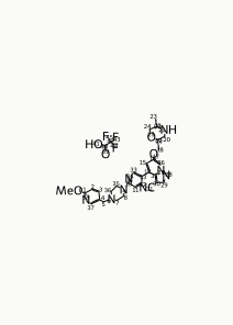 COc1ccc(CN2CCN(c3ccc(-c4cc(OC[C@@H]5CN[C@H](C)CO5)cn5ncc(C#N)c45)cn3)CC2)cn1.O=C(O)C(F)(F)F